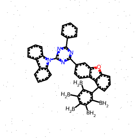 Bc1c(B)c(B)c(-c2cccc3oc4cc(-c5nc(-c6ccccc6)nc(-n6c7ccccc7c7ccccc76)n5)ccc4c23)c(B)c1B